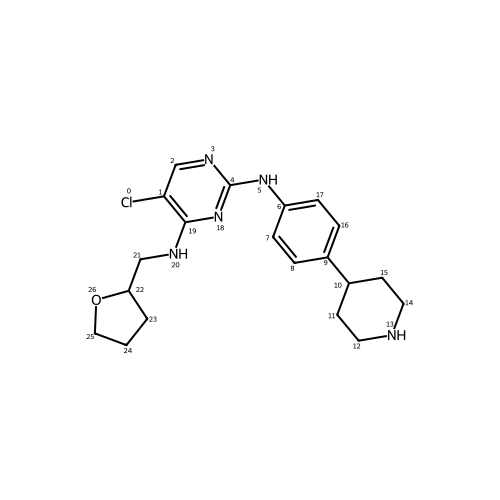 Clc1cnc(Nc2ccc(C3CCNCC3)cc2)nc1NCC1CCCO1